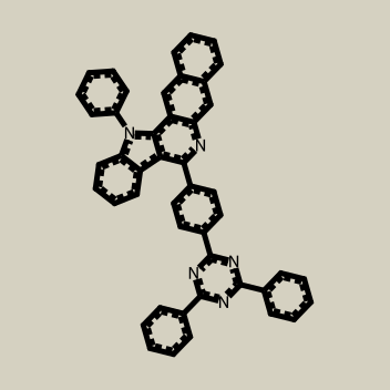 c1ccc(-c2nc(-c3ccccc3)nc(-c3ccc(-c4nc5cc6ccccc6cc5c5c4c4ccccc4n5-c4ccccc4)cc3)n2)cc1